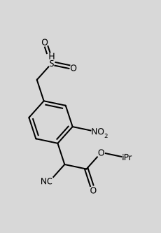 CC(C)OC(=O)C(C#N)c1ccc(C[SH](=O)=O)cc1[N+](=O)[O-]